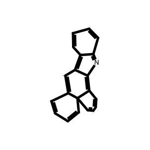 [C]1=C2C=CC=CC23C=CC=CC3=C2N=c3ccccc3=C12